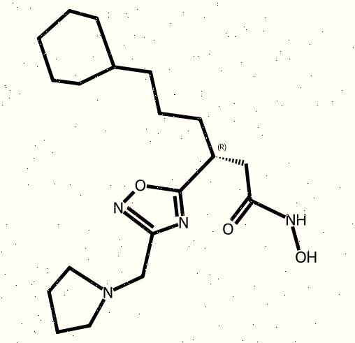 O=C(C[C@@H](CCCC1CCCCC1)c1nc(CN2CCCC2)no1)NO